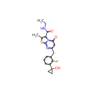 CCNC(=O)c1c(C)sc2nc(Cc3cccc(C4(O)CC4)c3F)cc(=O)n12